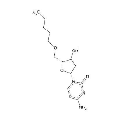 CCCCCOC[C@H]1O[C@@H](n2ccc(N)nc2=O)CC1O